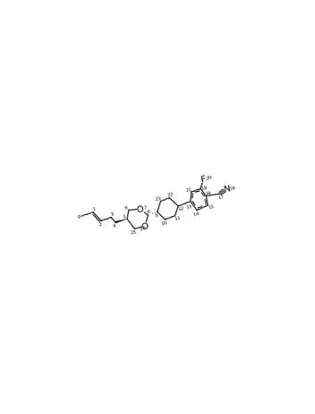 C/C=C/CC[C@H]1CO[C@H](C2CCC(c3ccc(C#N)c(F)c3)CC2)OC1